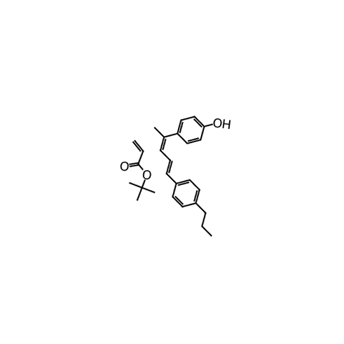 C=CC(=O)OC(C)(C)C.CCCc1ccc(C=CC=C(C)c2ccc(O)cc2)cc1